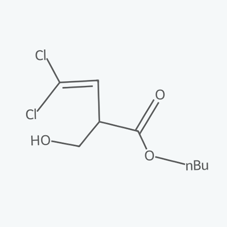 CCCCOC(=O)C(C=C(Cl)Cl)CO